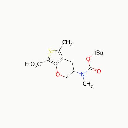 CCOC(=O)c1sc(C)c2c1OCC(N(C)C(=O)OC(C)(C)C)C2